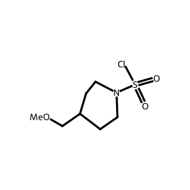 COCC1CCN(S(=O)(=O)Cl)CC1